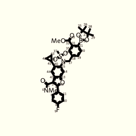 CNC(=O)c1c(-c2ccc(F)cc2)oc2cc(N(Cc3ccc(B4OC(C)(C)C(C)(C)O4)c(C(=O)OC)c3)S(C)(=O)=O)c(C3CC3)cc12